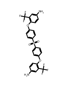 Nc1ccc(Oc2ccc(S(=O)(=O)c3ccc(Oc4ccc(N)cc4C(F)(F)F)cc3)cc2)c(C(F)(F)F)c1